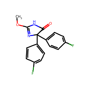 COC1=NC(c2ccc(F)cc2)(c2ccc(F)cc2)C(=O)N1